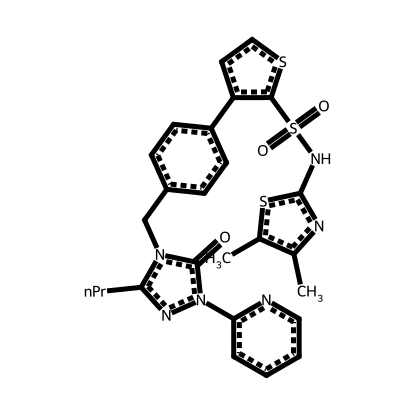 CCCc1nn(-c2ccccn2)c(=O)n1Cc1ccc(-c2ccsc2S(=O)(=O)Nc2nc(C)c(C)s2)cc1